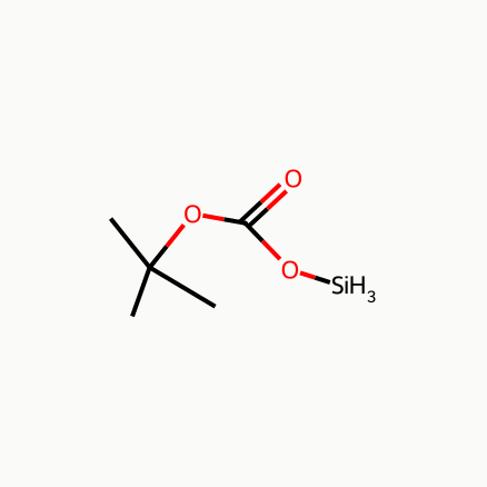 CC(C)(C)OC(=O)O[SiH3]